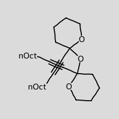 CCCCCCCCC#CC1(OC2(C#CCCCCCCCC)CCCCO2)CCCCO1